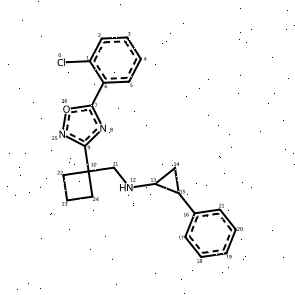 Clc1ccccc1-c1nc(C2(CNC3CC3c3ccccc3)CCC2)no1